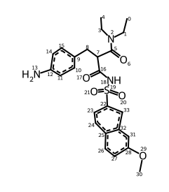 CCN(CC)C(=O)C(Cc1ccc(N)cc1)C(=O)NS(=O)(=O)c1ccc2ccc(OC)cc2c1